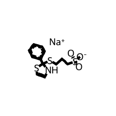 O=S(=O)([O-])CCCSC1(c2ccccc2)NC=CS1.[Na+]